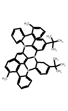 Cc1ccccc1-c1ccccc1N1C2=CC=C(C(C)(C)C)CC2B2c3cc(C(C)(C)C)ccc3N(c3ccccc3-c3ccccc3C)c3cccc1c32